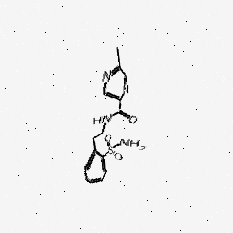 Cc1cnc(C(=O)NCCc2ccccc2S(N)(=O)=O)cn1